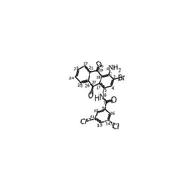 Nc1c(Br)cc(NC(=O)c2cc(Cl)cc(Cl)c2)c2c1C(=O)c1ccccc1C2=O